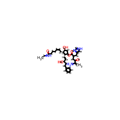 CCNC(=O)CCC/C=C\C[C@@H]1[C@@H](/C=C/[C@@H](O)CCc2ccccc2)[C@H](OC(=O)C(CC(=O)C(C)N)Cc2c[nH]cn2)C[C@@H]1O